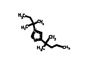 CCCC(C)(C)c1cn(C(C)(C)CC)cn1